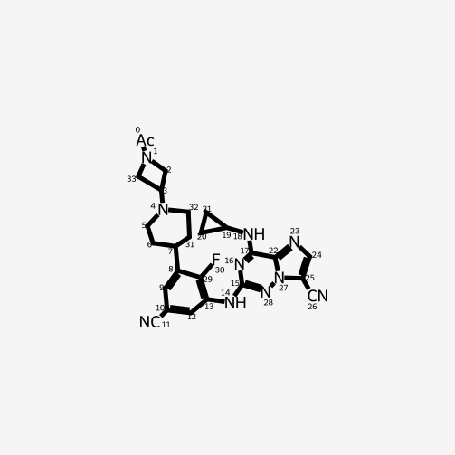 CC(=O)N1CC(N2CCC(c3cc(C#N)cc(Nc4nc(NC5CC5)c5ncc(C#N)n5n4)c3F)CC2)C1